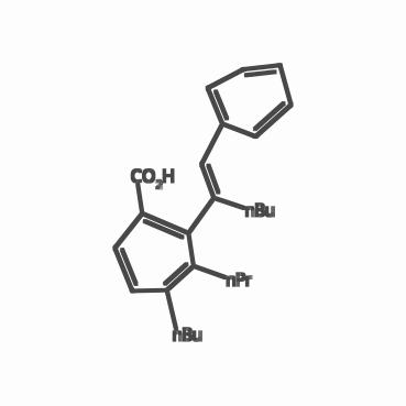 CCCCC(=Cc1ccccc1)c1c(C(=O)O)ccc(CCCC)c1CCC